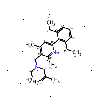 C=C(C)CN(CC)Cc1c(C)cc(-c2c(CC)cccc2CC)nc1C